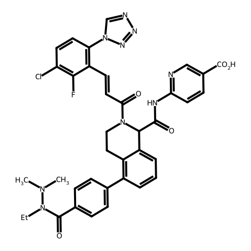 CCN(C(=O)c1ccc(-c2cccc3c2CCN(C(=O)C=Cc2c(-n4cnnn4)ccc(Cl)c2F)C3C(=O)Nc2ccc(C(=O)O)cn2)cc1)N(C)C